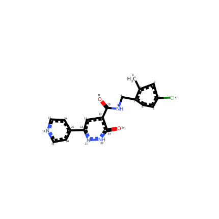 Cc1cc(Cl)ccc1CNC(=O)c1cc(-c2ccncc2)n[nH]c1=O